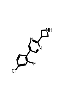 Fc1cc(Cl)ccc1-c1cnc(C2CNC2)nc1